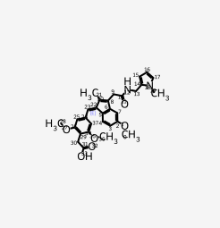 COc1ccc2c(c1)C(CC(=O)NCc1cccn1C)=C(C)/C2=C/c1cc(OC)c(CC(=O)O)c(OC)c1